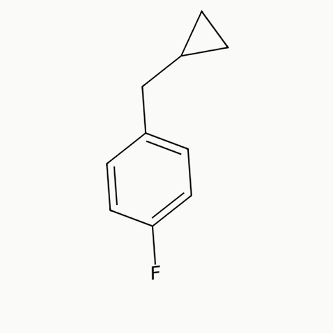 Fc1ccc(CC2CC2)cc1